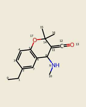 CCc1ccc2c(c1)C(NC)C(=C=O)C(C)(C)O2